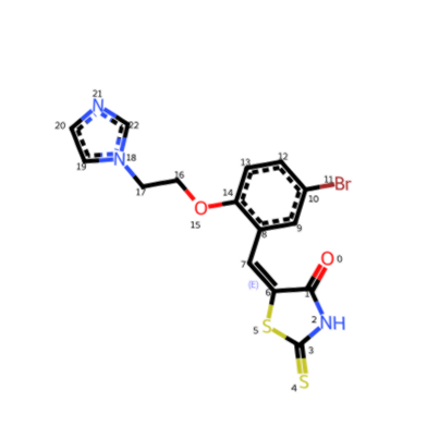 O=C1NC(=S)S/C1=C/c1cc(Br)ccc1OCCn1ccnc1